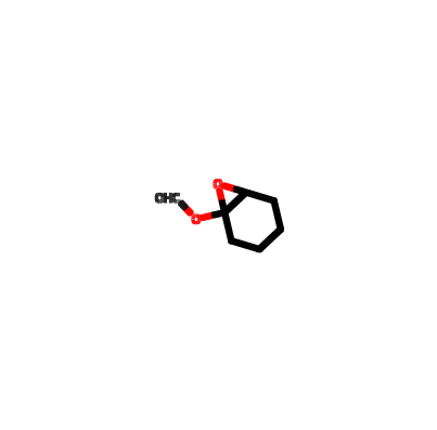 O=COC12CCCCC1O2